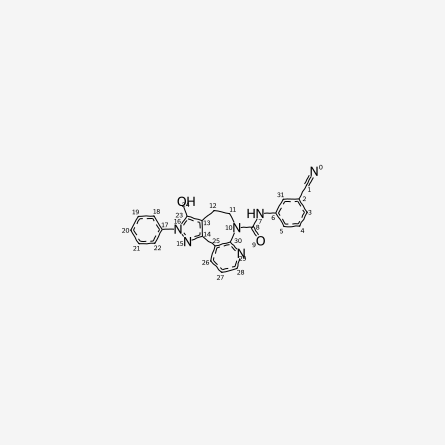 N#Cc1cccc(NC(=O)N2CCc3c(nn(-c4ccccc4)c3O)-c3cccnc32)c1